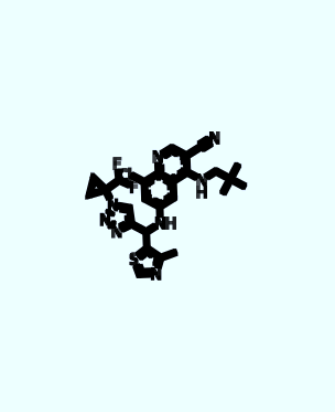 Cc1ncsc1C(Nc1cc(Cl)c2ncc(C#N)c(NCC(C)(C)C)c2c1)c1cn(C2(C(F)F)CC2)nn1